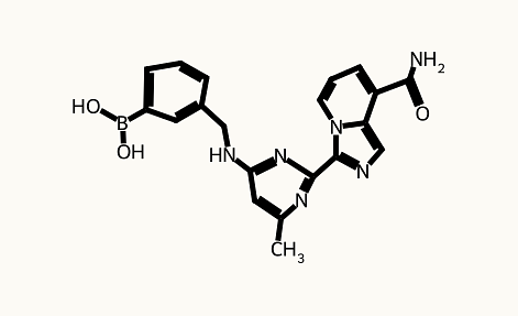 Cc1cc(NCc2cccc(B(O)O)c2)nc(-c2ncc3c(C(N)=O)cccn23)n1